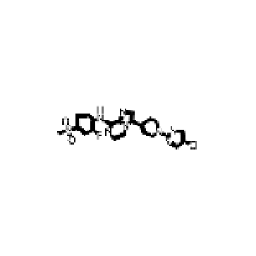 CS(=O)(=O)c1ccc(Nc2nccn3c(C4=CCN(c5ncc(Cl)cn5)CC4)cnc23)c(F)c1